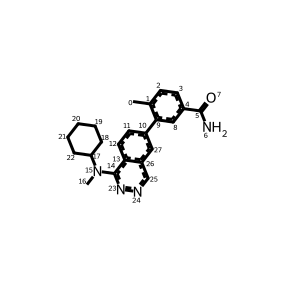 Cc1ccc(C(N)=O)cc1-c1ccc2c(N(C)C3CCCCC3)nncc2c1